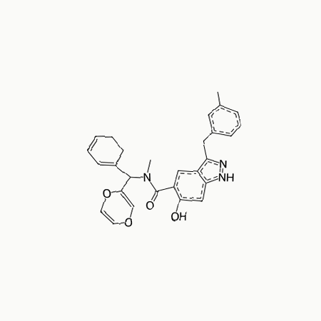 Cc1cccc(Cc2n[nH]c3cc(O)c(C(=O)N(C)C(C4=CC=CCC4)C4=COC=CO4)cc23)c1